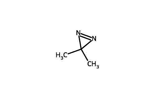 CC1(C)N=N1